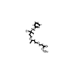 CCC(C)(CCOC(C)CCOCCC(=O)OC(C)(C)C)SSc1ccccn1